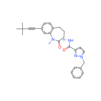 CN1C(=O)[C@@H](NC(=O)c2ccn(Cc3ccccc3)n2)CCc2ccc(C#CC(C)(C)C)cc21